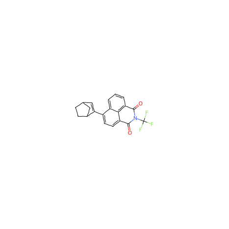 O=C1c2cccc3c(C4=CC5CCC4C5)ccc(c23)C(=O)N1C(F)(F)F